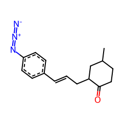 CC1CCC(=O)C(CC=Cc2ccc(N=[N+]=[N-])cc2)C1